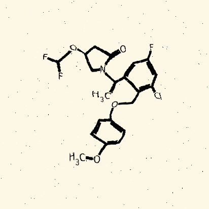 COc1ccc(OCc2c(Cl)cc(F)cc2C(C)N2C[C@@H](OC(F)F)CC2=O)cc1